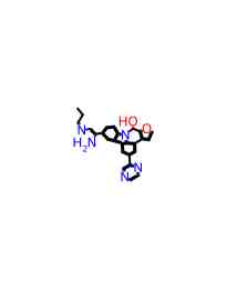 CC/C=N\C=C(/N)c1ccc2c(c1)c1cc(-c3cnccn3)cc3c1n2C(O)c1occc1-3